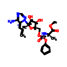 C=C/C=C1/C(N)=NC=NN1[C@]1(C#N)O[C@H](CO[P@@](=O)(N[C@@H](C)C(=O)OC(C)C)Oc2ccccc2)[C@@H](O)[C@H]1O